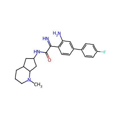 CN1CCCC2CC(NC(=O)C(=N)c3ccc(-c4ccc(F)cc4)cc3N)CC21